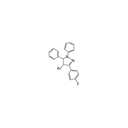 CC(=O)C1C(c2ccc(F)cc2)=NN(c2ccccc2)C1c1ccccc1